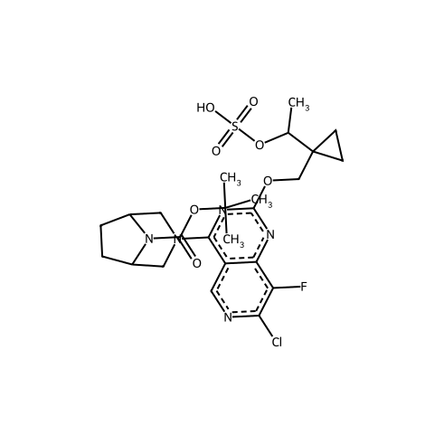 CC(OS(=O)(=O)O)C1(COc2nc(N3CC4CCC(C3)N4C(=O)OC(C)(C)C)c3cnc(Cl)c(F)c3n2)CC1